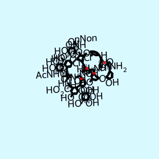 CCCCCCCCCC(=O)N[C@H]1[C@H](Oc2c3cc4cc2Oc2ccc(cc2Cl)[C@@H](O[C@@H]2O[C@H](CO)[C@@H](O)[C@H](O)[C@H]2NC(C)=O)[C@@H]2NC(=O)[C@H](NC(=O)[C@@H]4NC(=O)[C@H]4NC(=O)[C@@H](Cc5ccc(c(Cl)c5)O3)NC(=O)[C@H](N)c3ccc(O)c(c3)Oc3cc(O)cc4c3)c3ccc(O)c(c3)-c3c(O[C@H]4O[C@H](CO)[C@@H](O)[C@H](O)[C@@H]4O)cc(O)cc3[C@H](C(=O)O)NC2=O)O[C@H](CO)[C@@H](O)[C@@H]1O